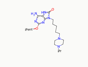 CCC[C@H](C)Oc1nc(N)c2[nH]c(=O)n(CCCCCN3CCN(C(C)C)CC3)c2n1